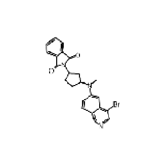 CN(c1ccc2cncc(Br)c2c1)C1CCC(N2C(=O)c3ccccc3C2=O)C1